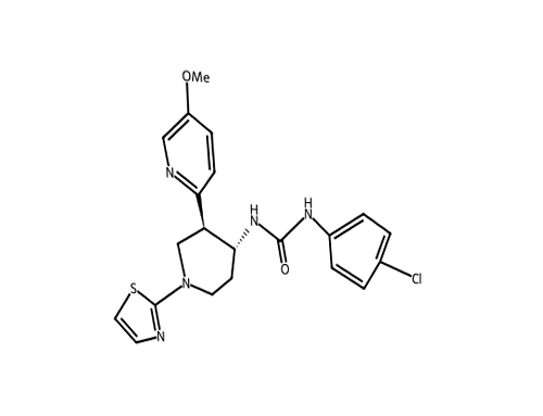 COc1ccc([C@@H]2CN(c3nccs3)CC[C@H]2NC(=O)Nc2ccc(Cl)cc2)nc1